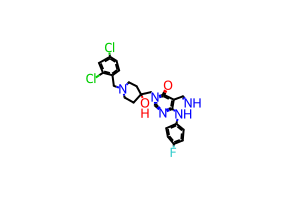 N=Cc1c(Nc2ccc(F)cc2)ncn(CC2(O)CCN(Cc3ccc(Cl)cc3Cl)CC2)c1=O